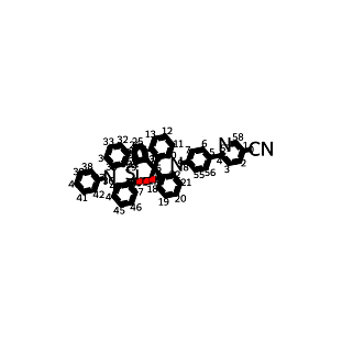 N#Cc1ccc(-c2ccc(N3c4ccccc4C4(c5ccccc53)c3ccccc3[Si]3(c5ccccc5N(c5ccccc5)c5ccccc53)c3ccccc34)cc2)nc1